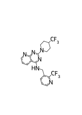 FC(F)(F)c1ncccc1CNc1nc(N2CCC(C(F)(F)F)CC2)nc2ncccc12